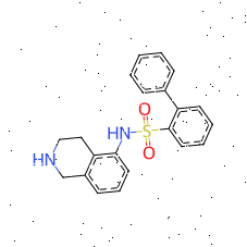 O=S(=O)(Nc1cccc2c1CCNC2)c1ccccc1-c1ccccc1